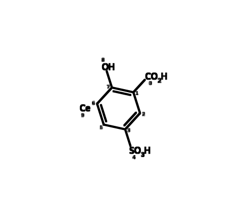 O=C(O)c1cc(S(=O)(=O)O)ccc1O.[Ce]